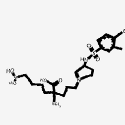 Cc1cc(S(=O)(=O)NC2CCN(CCCC(N)(CCCCB(O)O)C(=O)O)C2)ccc1Cl